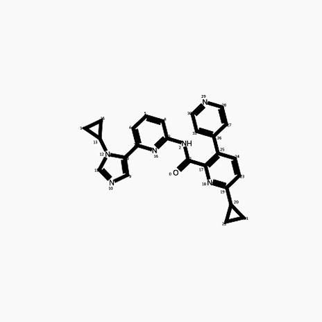 O=C(Nc1cccc(-c2cncn2C2CC2)n1)c1nc(C2CC2)ccc1-c1ccncc1